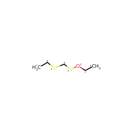 CCOSCSCC